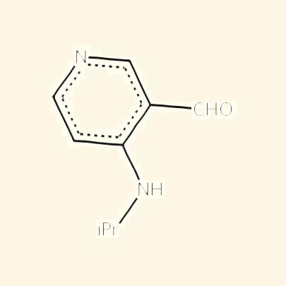 CC(C)Nc1ccncc1C=O